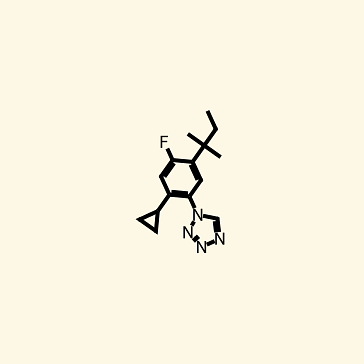 CCC(C)(C)c1cc(-n2cnnn2)c(C2CC2)cc1F